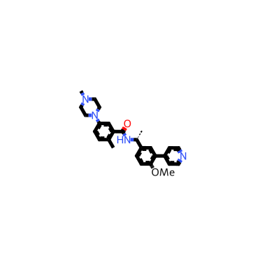 COc1ccc([C@@H](C)NC(=O)c2cc(N3CCN(C)CC3)ccc2C)cc1-c1ccncc1